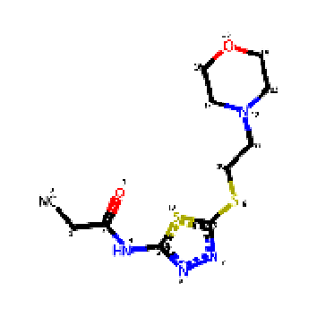 N#CCC(=O)Nc1nnc(SCCN2CCOCC2)s1